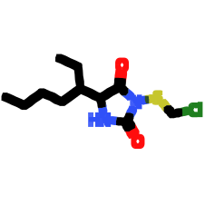 CCCCC(CC)C1NC(=O)N(SCCl)C1=O